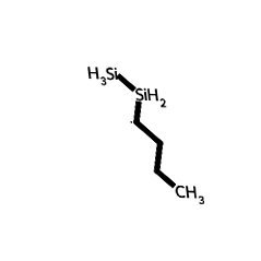 CCC[CH][SiH2][SiH3]